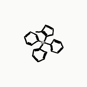 CC1=C([Si](c2ccccc2)(c2ccccc2)c2ccccc2)CC=C1